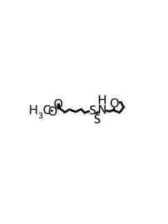 COC(=O)CCCCCSC(=S)NCC1CCCO1